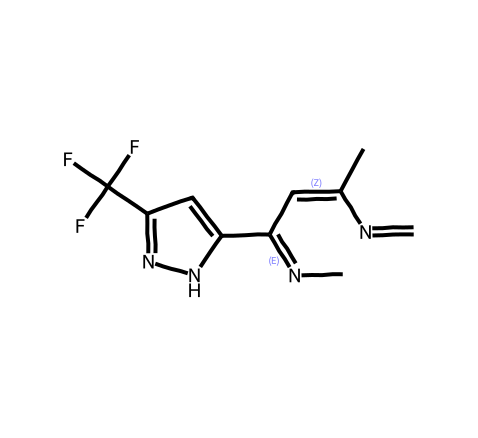 C=N/C(C)=C\C(=N/C)c1cc(C(F)(F)F)n[nH]1